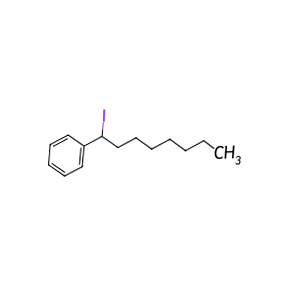 CCCCCCCC(I)c1ccccc1